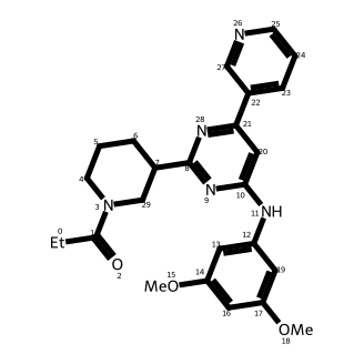 CCC(=O)N1CCCC(c2nc(Nc3cc(OC)cc(OC)c3)cc(-c3cccnc3)n2)C1